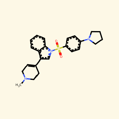 CN1CC=C(c2cn(S(=O)(=O)c3ccc(N4CCCC4)cc3)c3ccccc23)CC1